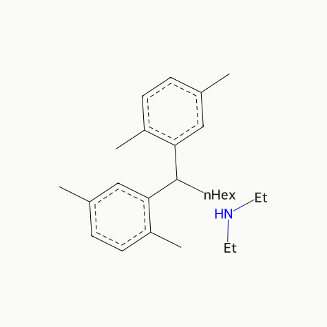 CCCCCCC(c1cc(C)ccc1C)c1cc(C)ccc1C.CCNCC